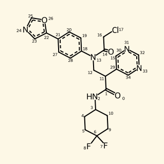 O=C(NC1CCC(F)(F)CC1)C(CN(C(=O)CCl)c1ccc(-c2cnco2)cc1)c1cncnc1